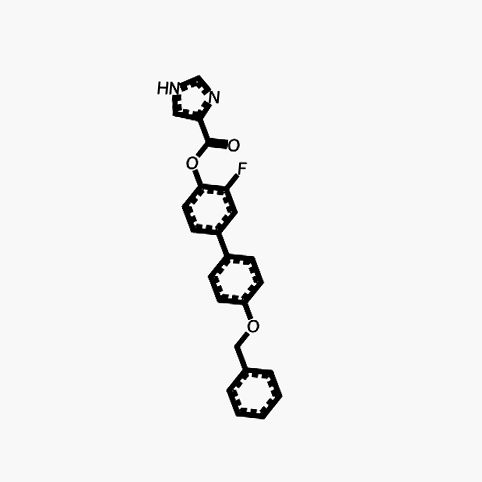 O=C(Oc1ccc(-c2ccc(OCc3ccccc3)cc2)cc1F)c1c[nH]cn1